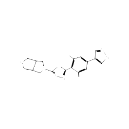 Oc1cc(-c2cn[nH]c2)cc(F)c1-c1nnc(N2CC3CNCC3C2)s1